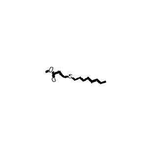 CCCCCCCCSCCC(=O)OC